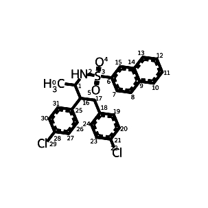 CC(NS(=O)(=O)c1ccc2ccccc2c1)C(Cc1ccc(Cl)cc1)c1ccc(Cl)cc1